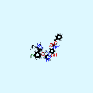 CC(C)c1ncncc1-c1cc(F)ccc1Oc1cncnc1N(C)[C@H]1C[C@@H](NC(=O)OCc2ccccc2)C[C@H]1O